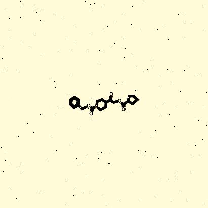 O=C(COC(=O)C1CCCC1)C1CCN(C(=O)OCc2ccccc2)CC1